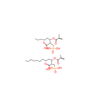 C=C(C)C(=O)OC(CCCCC)C(CP(=O)(O)O)C(=O)O.C=C(C)C(=O)OC(CCCCCCCCC)C(CP(=O)(O)O)C(=O)O